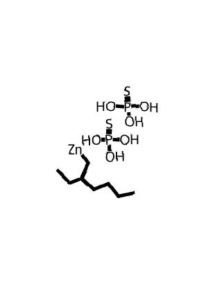 CCCCC(CC)[CH2][Zn].OP(O)(O)=S.OP(O)(O)=S